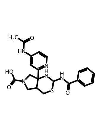 CC(=O)Nc1ccnc(C23CN(C(=O)O)CC2CSC(NC(=O)c2ccccc2)N3)c1